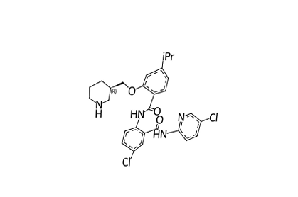 CC(C)c1ccc(C(=O)Nc2ccc(Cl)cc2C(=O)Nc2ccc(Cl)cn2)c(OC[C@@H]2CCCNC2)c1